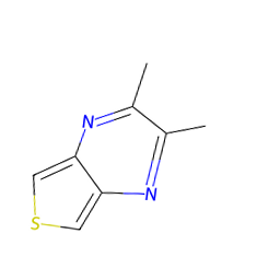 Cc1nc2cscc2nc1C